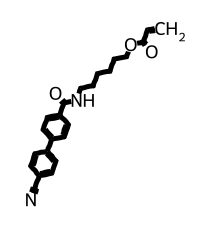 C=CC(=O)OCCCCCCNC(=O)c1ccc(-c2ccc(C#N)cc2)cc1